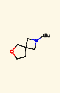 CC(C)(C)N1CC2(CCOC2)C1